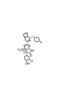 C[C@]1(c2ccc(O)c(Cl)c2)C(=O)Nc2nc(-c3cn4ccnc4c(Cc4ccc(F)cc4)n3)nc(N)c21